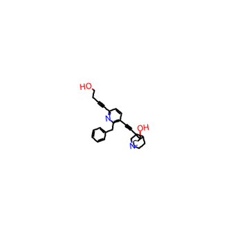 OCCC#Cc1ccc(C#CC2(O)CN3CCC2CC3)c(Cc2ccccc2)n1